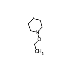 CCON1CC[CH]CC1